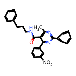 Cc1nc(-c2ccccc2)nc(-c2cccc([N+](=O)[O-])c2)c1C(=O)NCCCc1ccccc1